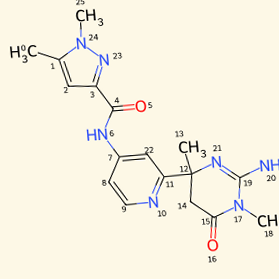 Cc1cc(C(=O)Nc2ccnc(C3(C)CC(=O)N(C)C(N)=N3)c2)nn1C